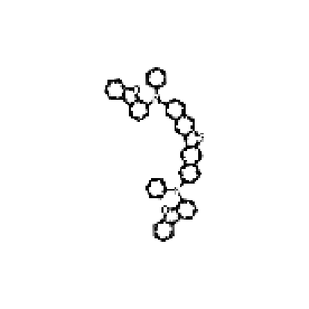 c1ccc(N(c2ccc3cc4sc5cc6ccc(N(c7ccccc7)c7cccc8c7oc7ccccc78)cc6cc5c4cc3c2)c2cccc3c2oc2ccccc23)cc1